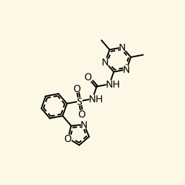 Cc1nc(C)nc(NC(=O)NS(=O)(=O)c2ccccc2-c2ncco2)n1